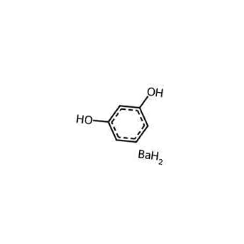 Oc1cccc(O)c1.[BaH2]